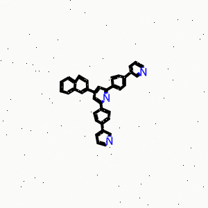 c1cncc(-c2ccc(-c3cc(-c4ccc5ccccc5c4)cc(-c4ccc(-c5cccnc5)cc4)n3)cc2)c1